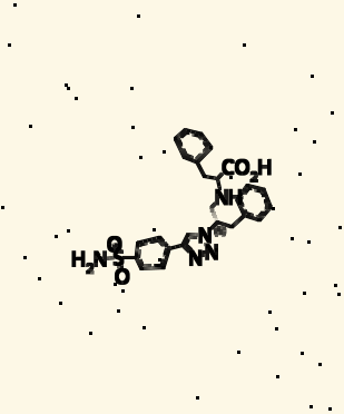 NS(=O)(=O)c1ccc(-c2cn([C@H](CNC(Cc3ccccc3)C(=O)O)Cc3ccccc3)nn2)cc1